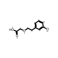 O=C(O)COCCc1cccc(Cl)c1